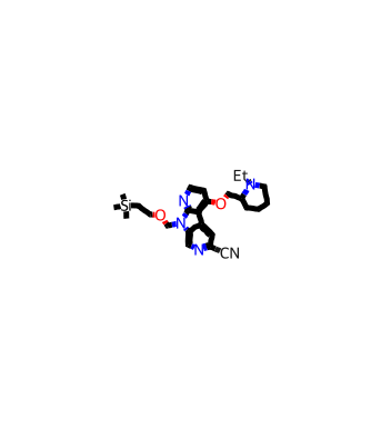 CCN1CCCCC1COc1ccnc2c1c1cc(C#N)ncc1n2COCC[Si](C)(C)C